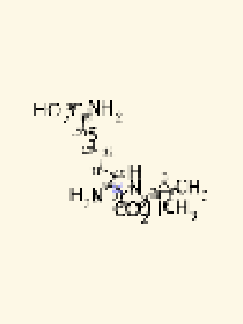 CC1(C)C[C@@H]1C(=O)N/C(=C\CCCCSC[C@H](N)C(=O)O)C(=O)O.N